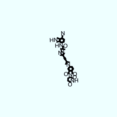 CC(C)(C(=O)Nc1ccc(C#N)c2c1CNC2)n1cc(C#CC2CN(c3ccc4c(c3)C(=O)N(C3CCC(=O)NC3=O)C4=O)C2)cn1